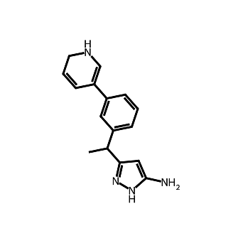 CC(c1cccc(C2=CNCC=C2)c1)c1cc(N)[nH]n1